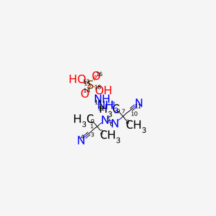 CC(C)(C#N)N=NC(C)(C)C#N.N.N.O=S(=O)(O)O